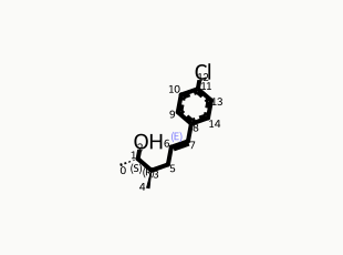 C[C@H](O)[C@H](C)C/C=C/c1ccc(Cl)cc1